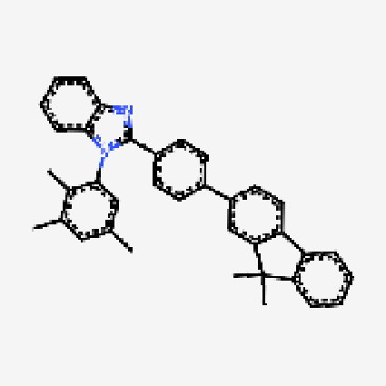 Cc1cc(C)c(C)c(-n2c(-c3ccc(-c4ccc5c(c4)C(C)(C)c4ccccc4-5)cc3)nc3ccccc32)c1